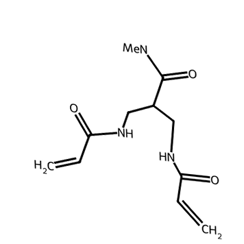 C=CC(=O)NCC(CNC(=O)C=C)C(=O)NC